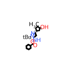 C[C@@H]1C[C@H](c2cc(NOC(=O)c3ccccc3)n(C(C)(C)C)n2)C[C@H]1O